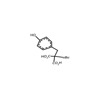 CCCCC(Cc1ccc(O)cc1)(C(=O)O)C(=O)O